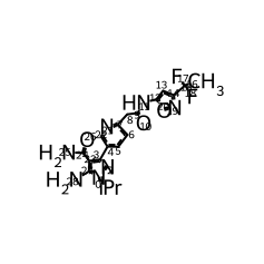 CC(C)n1nc(-c2ccc(CC(=O)Nc3cc(C(C)(F)F)no3)nc2)c(C(N)=O)c1N